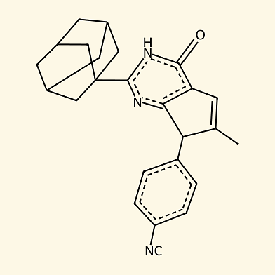 [C-]#[N+]c1ccc(C2C(C)=Cc3c2nc(C24CC5CC(CC(C5)C2)C4)[nH]c3=O)cc1